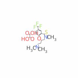 CN(C)CCC1CN(C)C(=S)c2cc(C(F)(F)F)ccc2O1.O=C(O)C(=O)O